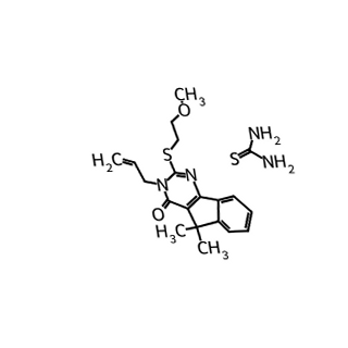 C=CCn1c(SCCOC)nc2c(c1=O)C(C)(C)c1ccccc1-2.NC(N)=S